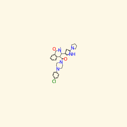 CN1C(=O)c2ccccc2C(C(=O)N2CCN(c3ccc(Cl)cc3)CC2)C1c1c[nH]c(N2CCCC2)c1